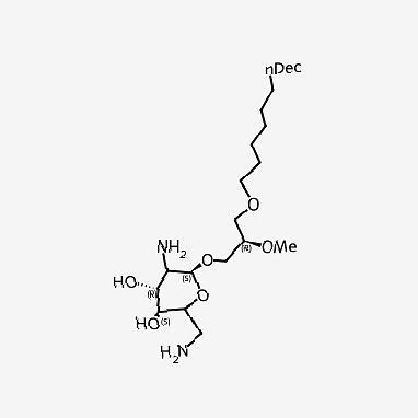 CCCCCCCCCCCCCCCCOC[C@H](CO[C@H]1OC(CN)[C@@H](O)[C@H](O)C1N)OC